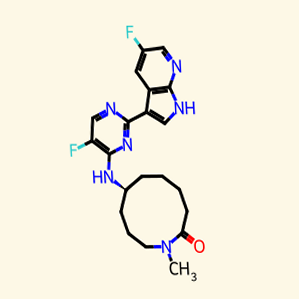 CN1CCC[C@@H](Nc2nc(-c3c[nH]c4ncc(F)cc34)ncc2F)CCCCC1=O